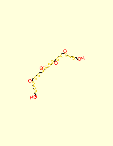 O=C(CSCSCC[S+]([O-])CSCSCSC(=O)CSCSCC(=O)SCSCSCCO)SCSCSCCO